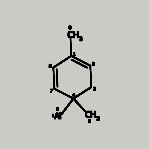 CC1=CC[C](C)([Al])C=C1